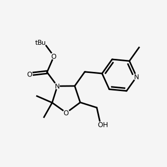 Cc1cc(CC2C(CO)OC(C)(C)N2C(=O)OC(C)(C)C)ccn1